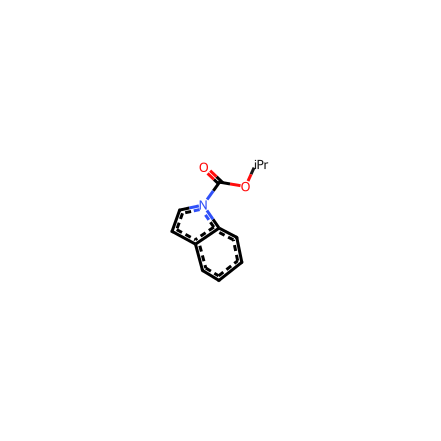 CC(C)OC(=O)n1ccc2ccccc21